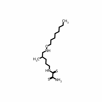 CCCCCCCCONCC(C)CCCNC(=S)C(N)=S